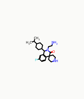 CC(C)C1CCC(C2c3cc(F)ccc3C3(CCNCC3)C(=O)N2CCN)CC1